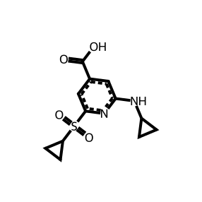 O=C(O)c1cc(NC2CC2)nc(S(=O)(=O)C2CC2)c1